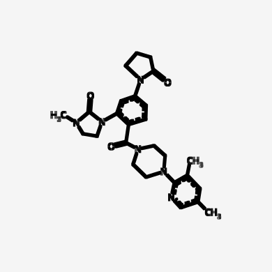 Cc1cnc(N2CCN(C(=O)c3ccc(N4CCCC4=O)cc3N3CCN(C)C3=O)CC2)c(C)c1